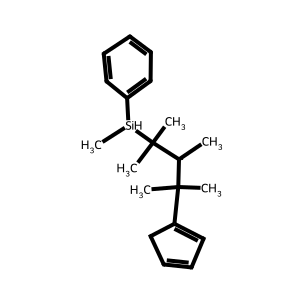 C[C](C(C)(C)C1=CC=CC1)C(C)(C)[SiH](C)c1ccccc1